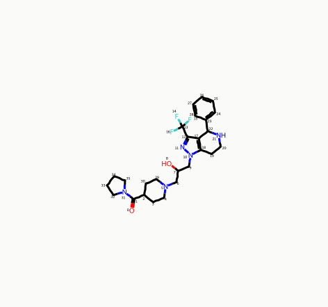 O=C(C1CCN(CC(O)Cn2nc(C(F)(F)F)c3c2CCNC3c2ccccc2)CC1)N1CCCC1